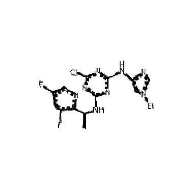 CCn1cnc(Nc2nc(Cl)nc(NC(C)c3ncc(F)cc3F)n2)c1